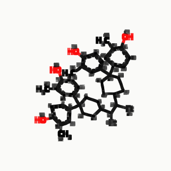 CCC(C1CCC(c2ccc(O)c(C)c2)(c2ccc(O)c(C)c2)CC1)C(CC)C1CCC(c2ccc(O)c(C)c2)(c2ccc(O)c(C)c2)CC1